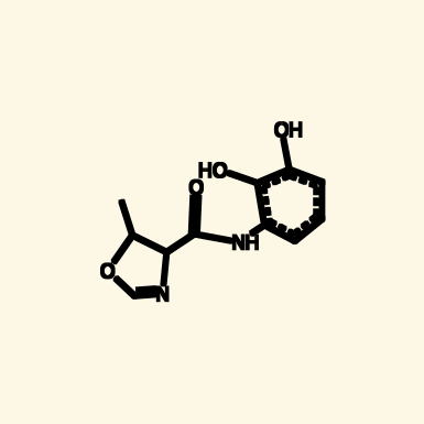 CC1OC=NC1C(=O)Nc1cccc(O)c1O